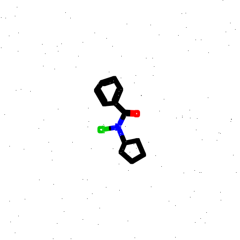 O=C(c1ccccc1)N(Cl)C1CCCC1